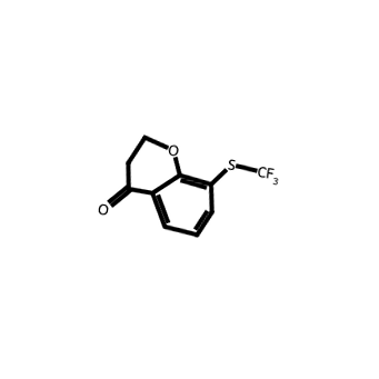 O=C1CCOc2c(SC(F)(F)F)cccc21